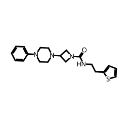 O=C(NCCc1cccs1)N1CC(N2CCN(c3ccccc3)CC2)C1